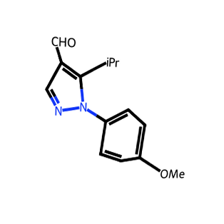 COc1ccc(-n2ncc(C=O)c2C(C)C)cc1